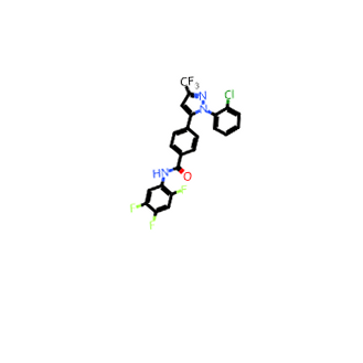 O=C(Nc1cc(F)c(F)cc1F)c1ccc(-c2cc(C(F)(F)F)nn2-c2ccccc2Cl)cc1